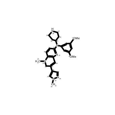 COc1cc(OC)cc(N(c2ccc3c(n2)C=C(c2cnn(C)c2)CN3C)C2CCNCC2)c1